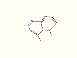 Cc1cc(C)c2c(C)cccc2n1